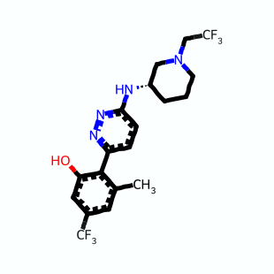 Cc1cc(C(F)(F)F)cc(O)c1-c1ccc(N[C@H]2CCCN(CC(F)(F)F)C2)nn1